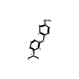 CC(=O)Nc1ccc(Oc2cccc(N(C)C)c2)cc1